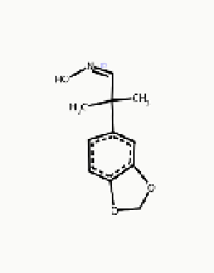 CC(C)(/C=N\O)c1ccc2c(c1)OCO2